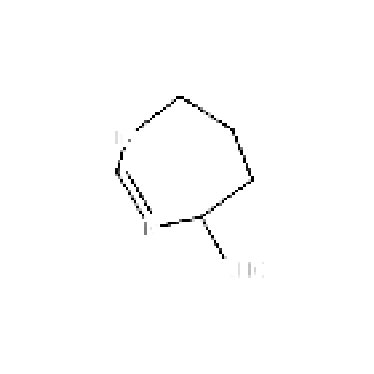 O=CC1CCCNC=N1